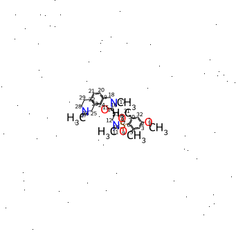 COc1cc(C)c(S(=O)(=O)N(C)CCC(=O)N(C)Cc2ccc3c(c2)CN(C)CC3)c(C)c1